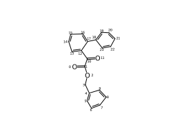 O=C(OCc1ccccc1)C(=O)c1ccccc1-c1ccccc1